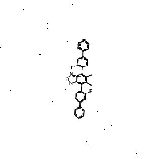 Cc1c(C)c(-c2ccc(-c3ccccc3)cc2F)c2nsnc2c1-c1ccc(-c2ccccc2)cc1F